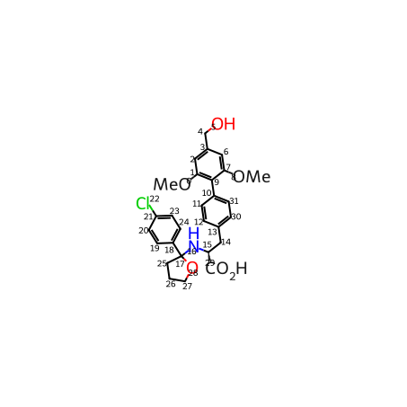 COc1cc(CO)cc(OC)c1-c1ccc(C[C@H](NC2(c3ccc(Cl)cc3)CCCO2)C(=O)O)cc1